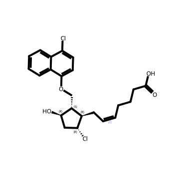 O=C(O)CCC/C=C\C[C@@H]1[C@@H](COc2ccc(Cl)c3ccccc23)[C@H](O)C[C@H]1Cl